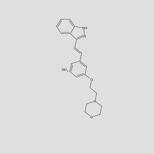 C(=Cc1n[nH]c2ccccc12)c1cccc(OCCN2CCOCC2)c1.N